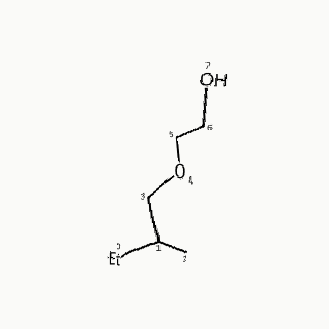 C[CH]C(C)COCCO